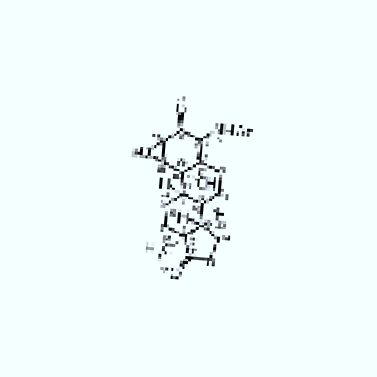 CC(=O)NC1=C2CC[C@@H]3[C@@H](CC[C@]4(C)C(=O)CC[C@@H]34)[C@@]2(C)C2OC2C1=O